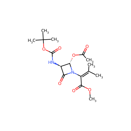 COC(=O)C(=C(C)C)N1C(=O)[C@@H](NC(=O)OC(C)(C)C)[C@@H]1OC(C)=O